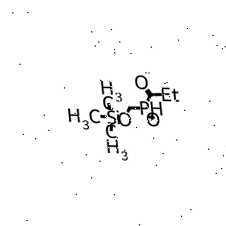 CCC(=O)[PH](=O)CO[Si](C)(C)C